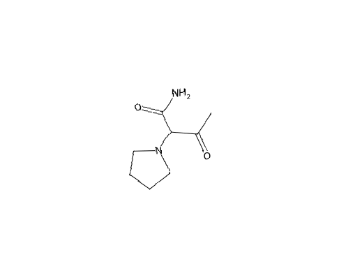 CC(=O)C(C(N)=O)N1CCCC1